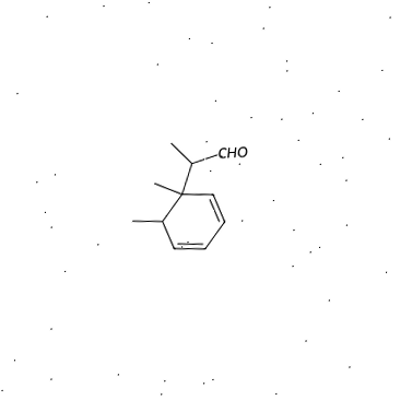 CC(C=O)C1(C)C=CC=CC1C